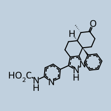 C[C@@H]1C(=O)CC[C@]2(c3ccccc3)c3n[nH]c(-c4ccc(NC(=O)O)nc4)c3CC[C@@H]12